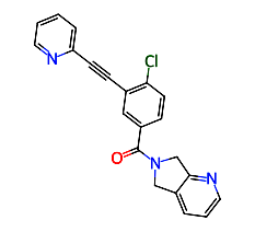 O=C(c1ccc(Cl)c(C#Cc2ccccn2)c1)N1Cc2cccnc2C1